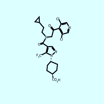 O=C(CN(CCC1CC1)C(=O)c1cnn([C@H]2CC[C@H](C(=O)O)CC2)c1C(F)(F)F)c1c(Cl)cncc1Cl